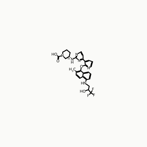 Cc1ccc2c(NCC(O)C(F)(F)F)cccc2c1Oc1ncccc1-c1ccnc(N[C@H]2CCCN(C(=O)O)C2)n1